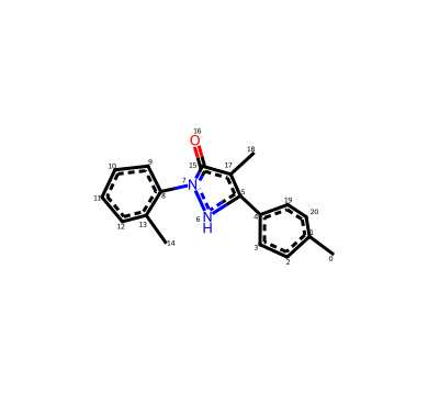 Cc1ccc(-c2[nH]n(-c3ccccc3C)c(=O)c2C)cc1